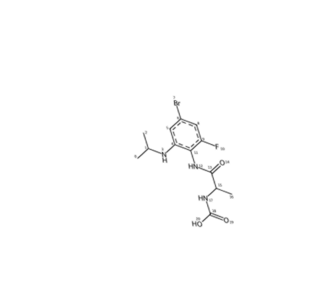 CC(C)Nc1cc(Br)cc(F)c1NC(=O)C(C)NC(=O)O